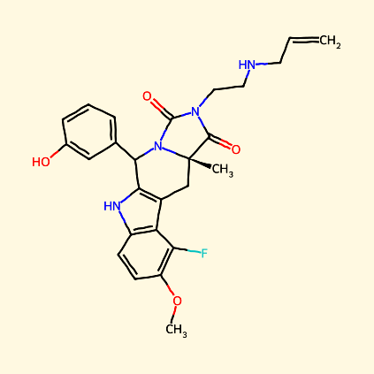 C=CCNCCN1C(=O)N2C(c3cccc(O)c3)c3[nH]c4ccc(OC)c(F)c4c3C[C@@]2(C)C1=O